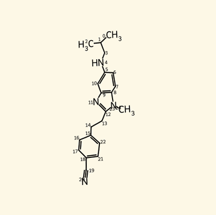 CC(C)CNc1ccc2c(c1)nc(CCc1ccc(C#N)cc1)n2C